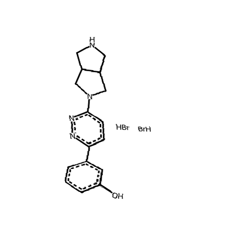 Br.Br.Oc1cccc(-c2ccc(N3CC4CNCC4C3)nn2)c1